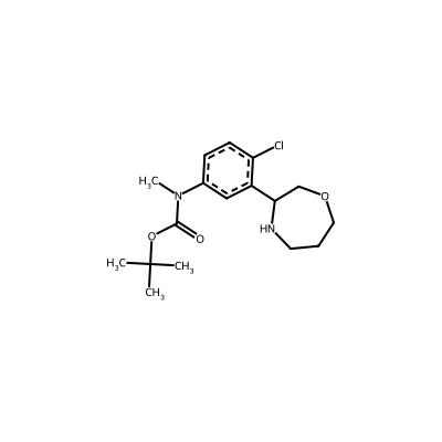 CN(C(=O)OC(C)(C)C)c1ccc(Cl)c(C2COCCCN2)c1